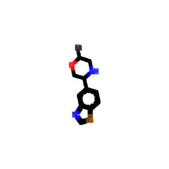 CCC1CNC(c2ccc3scnc3c2)CO1